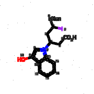 CCCCCCCCCC(I)CC(CC(=O)O)n1cc(O)c2ccccc21